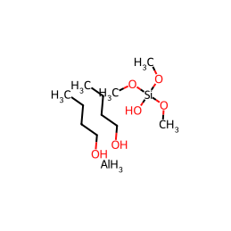 CCCCO.CCCCO.CO[Si](O)(OC)OC.[AlH3]